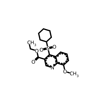 CCOC(=O)c1cnc2c(OC)cccc2c1S(=O)(=O)C1CCCCC1